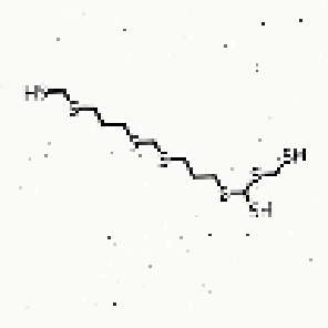 SCSCCCSCSCCCSC(S)SCS